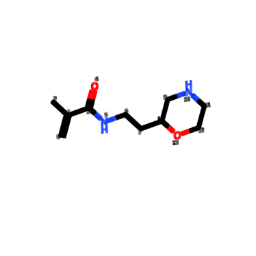 C=C(C)C(=O)NCCC1CNCCO1